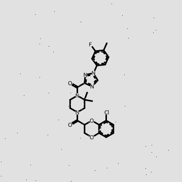 Cc1ccc(-n2cnc(C(=O)N3CCN(C(=O)C4COc5cccc(Cl)c5O4)CC3(C)C)n2)cc1F